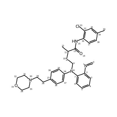 C=Nc1ccccc1N(CSC(C)C(=O)Nc1ccc(C)cc1Cl)c1ccc(CCN2CCOCC2)cc1